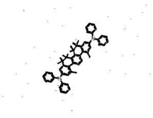 Cc1cc(N(c2ccccc2)c2ccccc2)cc2c1-c1ccc3c(c1C(C)(C)C2(C)C)C(C)(C)C(C)(C)c1cc(N(c2ccccc2)c2ccccc2)cc(C)c1-3